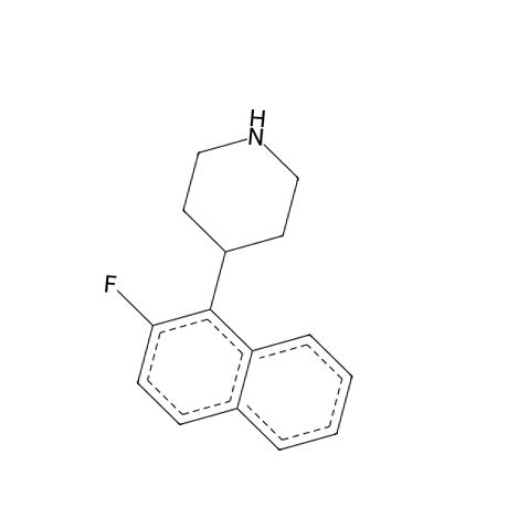 Fc1ccc2ccccc2c1C1CCNCC1